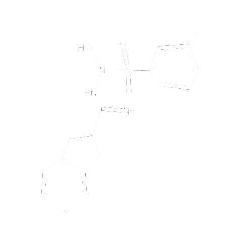 Cc1cccc(S(=O)(=O)N(O)NC(=N)C2Cc3ccccc3C2)c1